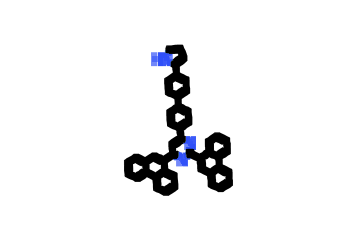 c1c[nH]c(-c2ccc(-c3ccc(-c4cc(-c5cc6ccccc6c6ccccc56)nc(-c5cc6ccccc6c6ccccc56)n4)cc3)cc2)c1